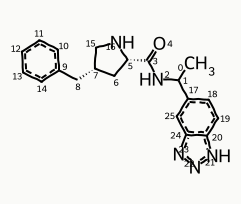 CC(NC(=O)[C@@H]1C[C@H](Cc2ccccc2)CN1)c1ccc2[nH]nnc2c1